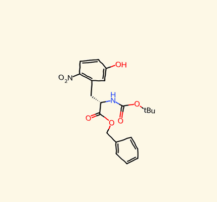 CC(C)(C)OC(=O)N[C@@H](Cc1cc(O)ccc1[N+](=O)[O-])C(=O)OCc1ccccc1